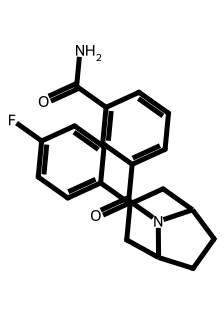 NC(=O)c1cccc(C(=O)N2C3CCC2CC(c2ccc(F)cc2)C3)c1